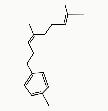 CC(C)=CCCC(C)=CCCc1ccc(C)cc1